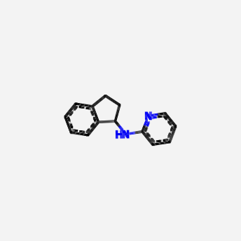 c1ccc(NC2CCc3ccccc32)nc1